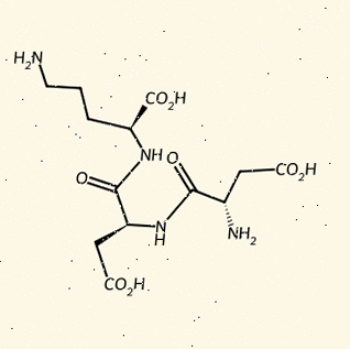 NCCC[C@H](NC(=O)[C@H](CC(=O)O)NC(=O)[C@@H](N)CC(=O)O)C(=O)O